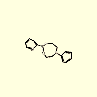 c1ccc(N2CCOB(c3ccccn3)OCC2)cc1